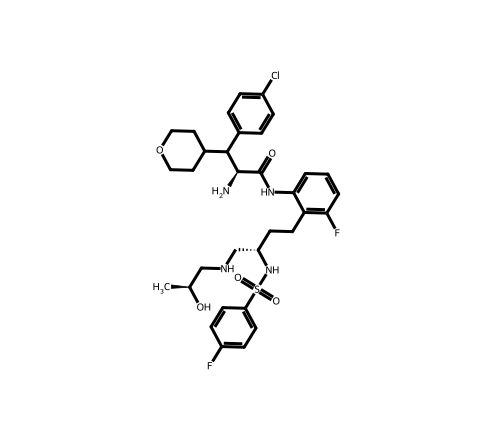 C[C@H](O)CNC[C@H](CCc1c(F)cccc1NC(=O)[C@@H](N)C(c1ccc(Cl)cc1)C1CCOCC1)NS(=O)(=O)c1ccc(F)cc1